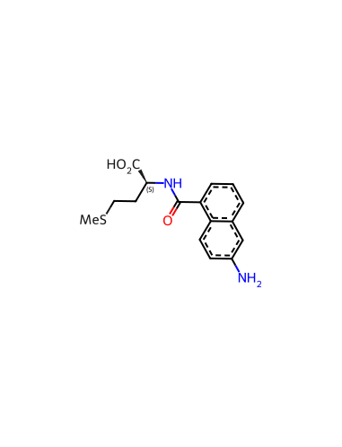 CSCC[C@H](NC(=O)c1cccc2cc(N)ccc12)C(=O)O